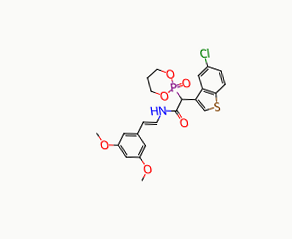 COc1cc(C=CNC(=O)C(c2csc3ccc(Cl)cc23)P2(=O)OCCCO2)cc(OC)c1